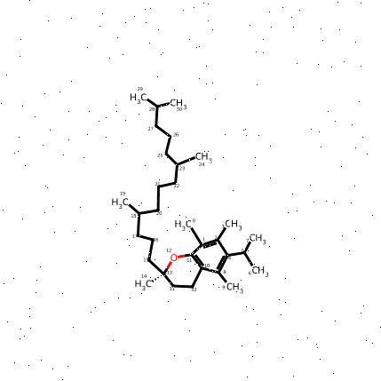 Cc1c(C)c(C(C)C)c(C)c2c1O[C@](C)(CCCC(C)CCCC(C)CCCC(C)C)CC2